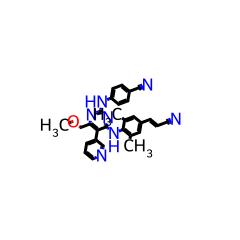 COCc1nc(Nc2ccc(C#N)cc2)nc(Nc2c(C)cc(/C=C/C#N)cc2C)c1-c1cccnc1